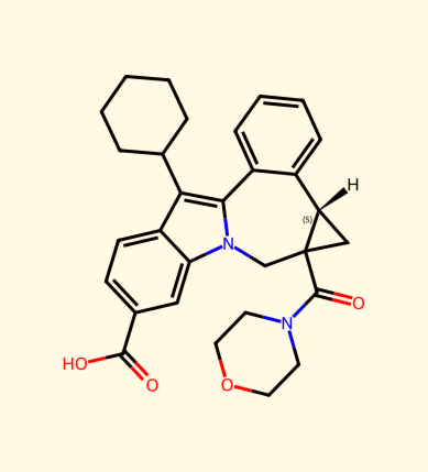 O=C(O)c1ccc2c(C3CCCCC3)c3n(c2c1)CC1(C(=O)N2CCOCC2)C[C@H]1c1ccccc1-3